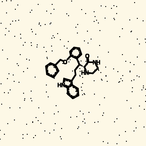 O=C1NCCN[C@@H]1C(CCc1c[nH]c2ccccc12)c1ccccc1OCc1ccccc1